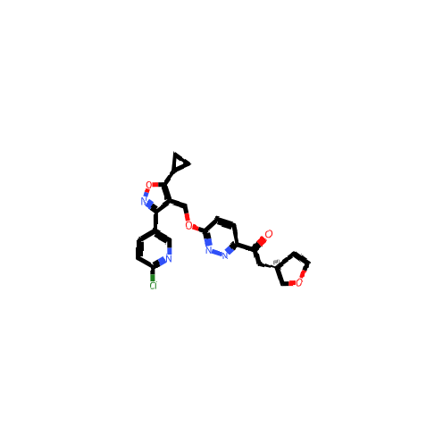 O=C(C[C@H]1CCOC1)c1ccc(OCc2c(-c3ccc(Cl)nc3)noc2C2CC2)nn1